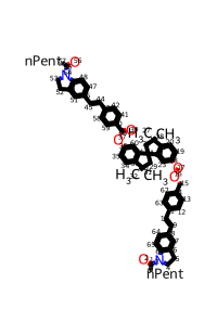 CCCCCC(=O)N1CCc2cc(/C=C/c3ccc(COOc4ccc5c(c4)C4(CC5(C)C)CC(C)(C)c5ccc(OC(=O)c6ccc(/C=C/c7ccc8c(c7)CCN8C(=O)CCCCC)cc6)cc54)cc3)ccc21